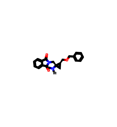 CCN(C)[C@@]1(CN2C(=O)c3ccccc3C2=O)C[C@@H]1COCc1ccccc1